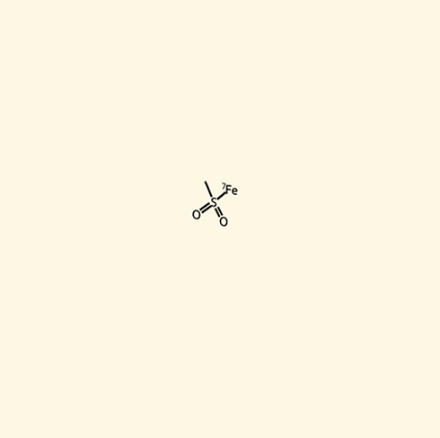 C[S](=O)(=O)[7Fe]